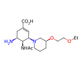 CCOCCO[C@H]1CCCN([C@@H]2C=C(C(=O)O)C[C@H](N)[C@@H]2NC(C)=O)C1